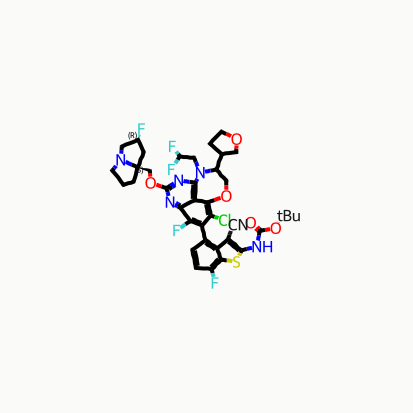 CC(C)(C)OC(=O)Nc1sc2c(F)ccc(-c3c(Cl)c4c5c(nc(OC[C@@]67CCCN6C[C@H](F)C7)nc5c3F)N(CC(F)F)C(C3CCOC3)CO4)c2c1C#N